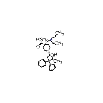 C=C/C=C(\C=C)N1CNC(=O)C12CCN(CCC(C(=C)O)(c1ccccc1)c1ccccc1)CC2